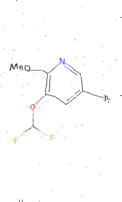 COc1ncc(C(C)C)cc1OC(F)F